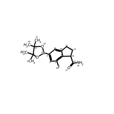 CC1(C)OB(c2cc(F)c3c(c2)CCC3C(N)=O)OC1(C)C